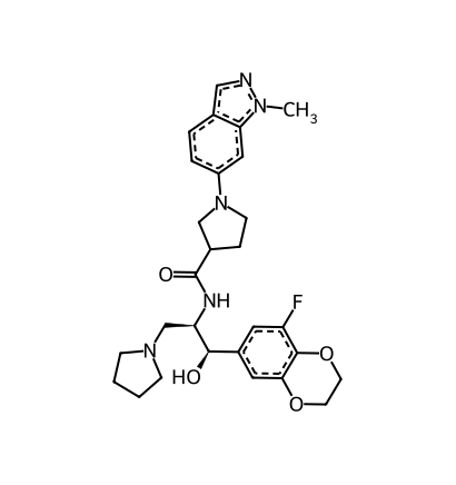 Cn1ncc2ccc(N3CCC(C(=O)N[C@H](CN4CCCC4)[C@H](O)c4cc(F)c5c(c4)OCCO5)C3)cc21